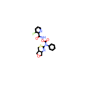 O=C(NOC(=O)N(C1=NC2COCC2CS1)c1ccccc1)c1ncccc1F